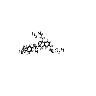 NCCCCc1ccc(CCC(=O)O)cc1CC(=O)NCc1ccc2[nH]cnc2c1